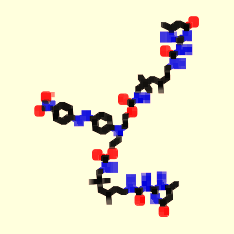 Cc1cc(=O)nc(NC(=O)NCCC(C)CC(C)(C)CNC(=O)OCCN(CCOC(=O)NCC(C)(C)CC(C)CCNC(=O)Nc2nc(=O)cc(C)[nH]2)c2ccc(/N=N/c3ccc([N+](=O)[O-])cc3)cc2)[nH]1